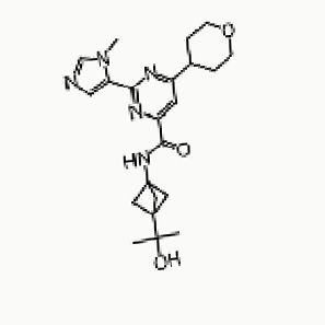 Cn1cncc1-c1nc(C(=O)NC23CC(C(C)(C)O)(C2)C3)cc(C2CCOCC2)n1